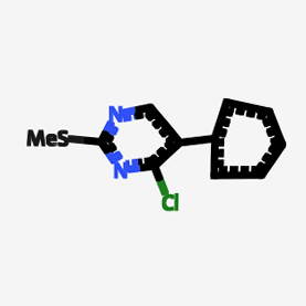 CSc1ncc(-c2ccccc2)c(Cl)n1